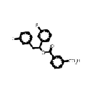 O=C(O)c1cccc(C(=O)OC(Cc2cccc(F)c2)c2cccc(F)c2)c1